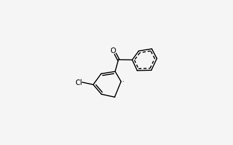 O=C(C1=CC(Cl)=CC[CH]1)c1ccccc1